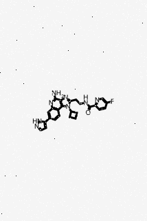 Nc1nc2cc(-c3ccn[nH]3)ccc2c2c1nc(CCNC(=O)c1ccc(F)cn1)n2C1CCC1